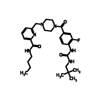 CCCCNC(=O)c1cccc(CN2CCN(C(=O)c3ccc(NC(=O)NCC(C)(C)C)c(F)c3)CC2)n1